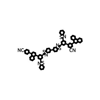 N#Cc1ccc(-c2ccc(-c3cc(-c4nc5ccccc5s4)cc(-c4nc5cc(-c6ccc7sc(-c8cc(-c9cc(C#N)cc(-c%10cc%11ccccc%11c%11ccccc%10%11)c9)cc(-c9nc%10ccccc%10s9)c8)nc7c6)ccc5s4)c3)c3ccccc23)cc1